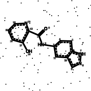 O=C(Nc1ccc2[nH]ncc2c1)c1ncccc1O